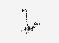 O=C(CC[C@H](NC(=O)CCCCCCCCCCCCCCCCCCO)C(=O)O)NCCOCCO